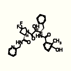 Cc1c(O)cccc1C(=O)N[C@@H](Cc1ccccc1)[C@H](O)C(=O)N1CC(F)(F)C[C@H]1C(=O)NCc1ccccn1